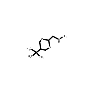 CNCC1OCC(C(C)(C)C)CO1